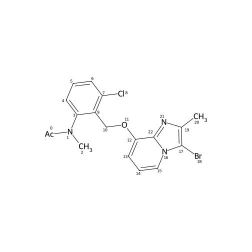 CC(=O)N(C)c1cccc(Cl)c1COc1cccn2c(Br)c(C)nc12